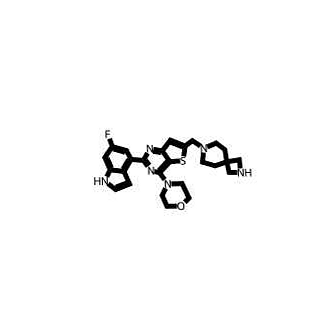 Fc1cc(-c2nc(N3CCOCC3)c3sc(CN4CCC5(CC4)CNC5)cc3n2)c2cc[nH]c2c1